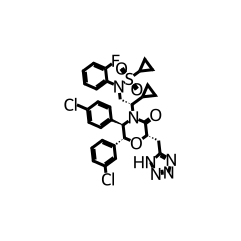 O=C1[C@H](Cc2nnn[nH]2)O[C@H](c2cccc(Cl)c2)[C@@H](c2ccc(Cl)cc2)N1[C@H](CN(c1ccccc1F)S(=O)(=O)C1CC1)C1CC1